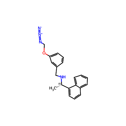 C[C@H](NCc1cccc(OCN=[N+]=[N-])c1)c1cccc2ccccc12